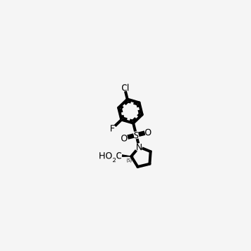 O=C(O)[C@@H]1CCCN1S(=O)(=O)c1ccc(Cl)cc1F